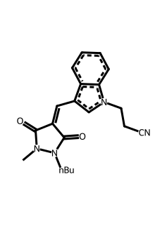 CCCCN1C(=O)/C(=C\c2cn(CCC#N)c3ccccc23)C(=O)N1C